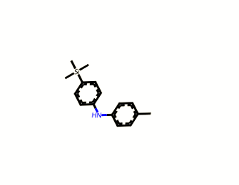 Cc1ccc(Nc2ccc([Si](C)(C)C)cc2)cc1